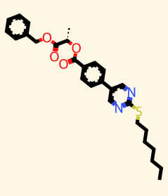 CCCCCCCSc1ncc(-c2ccc(C(=O)O[C@@H](C)C(=O)OCc3ccccc3)cc2)cn1